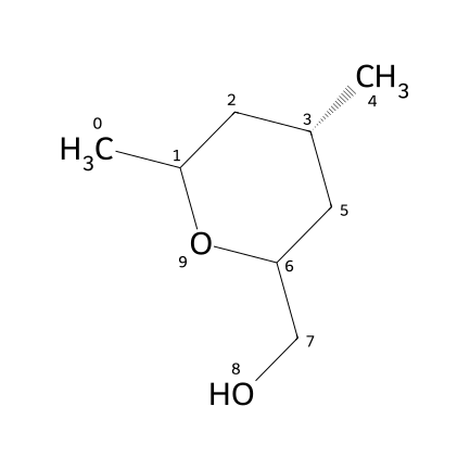 CC1C[C@H](C)CC(CO)O1